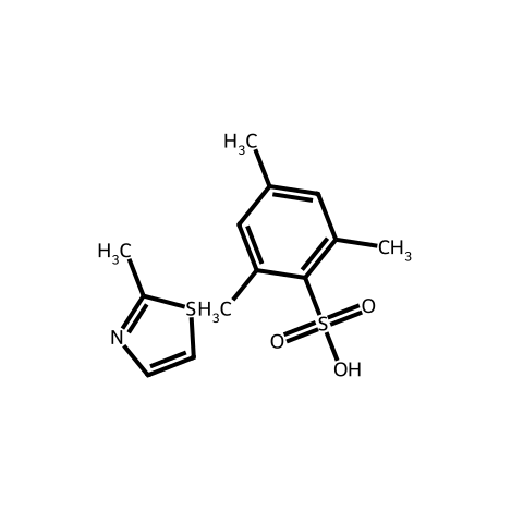 Cc1cc(C)c(S(=O)(=O)O)c(C)c1.Cc1nccs1